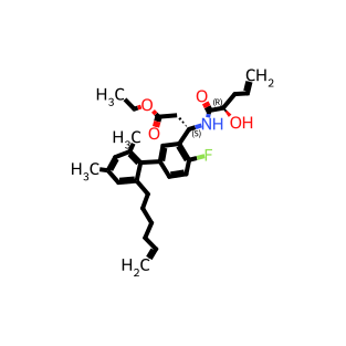 C=CCCCCc1cc(C)cc(C)c1-c1ccc(F)c([C@H](CC(=O)OCC)NC(=O)[C@H](O)CC=C)c1